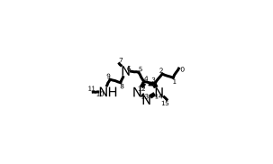 CCCc1c(CN(C)CCNC)nnn1C